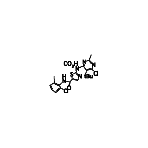 Cc1nc(Cl)c(C(C)(C)C)c(N(C(=O)O)c2ncc(C(=O)Nc3c(C)cccc3Cl)s2)n1